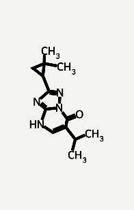 CC(C)c1c[nH]c2nc(C3CC3(C)C)nn2c1=O